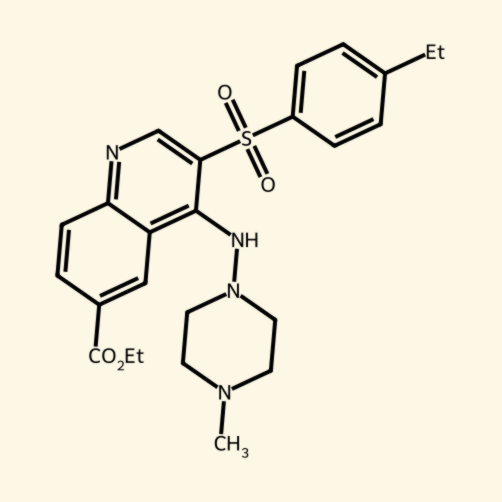 CCOC(=O)c1ccc2ncc(S(=O)(=O)c3ccc(CC)cc3)c(NN3CCN(C)CC3)c2c1